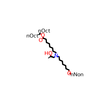 CCCCCCCCCOCCCCCCCN(CCCCCCCC(=O)OC(CCCCCCCC)CCCCCCCC)C[C@@H](C)O